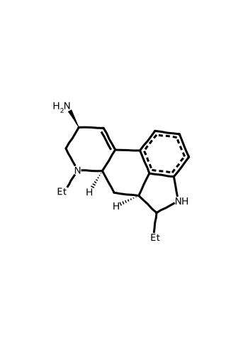 CCC1Nc2cccc3c2[C@@H]1C[C@@H]1C3=C[C@H](N)CN1CC